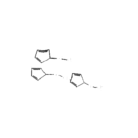 [CH3][Y][CH]1C=CC=C1.[CH3][Y][CH]1C=CC=C1.[CH3][Y][CH]1C=CC=C1